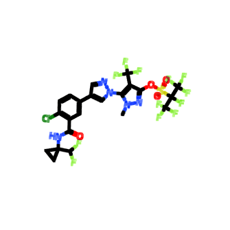 Cn1nc(OS(=O)(=O)C(F)(C(F)(F)F)C(F)(F)F)c(C(F)(F)F)c1-n1cc(-c2ccc(Cl)c(C(=O)NC3(C(F)F)CC3)c2)cn1